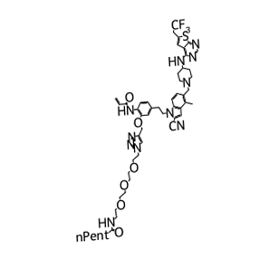 C=CC(=O)Nc1ccc(CCn2c(C#N)cc3c(C)c(CN4CCC(Nc5ncnc6sc(CC(F)(F)F)cc56)CC4)ccc32)cc1OCc1cn(CCOCCOCCOCCNC(=O)CCCCC)nn1